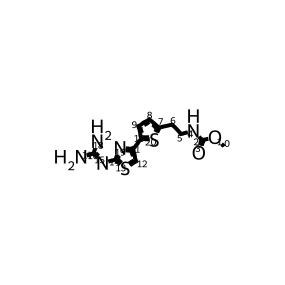 COC(=O)NCCc1ccc(-c2csc(N=C(N)N)n2)s1